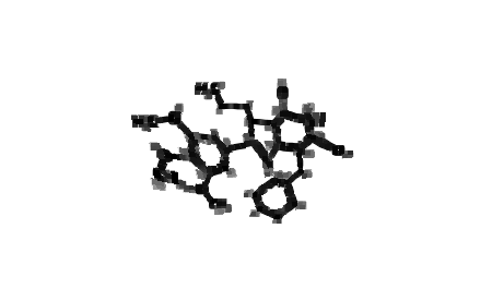 CCCC1C(c2cc(OC)c(OC)c(OC)c2)=Nc2c1c(=O)[nH]c(=O)n2Cc1ccccc1